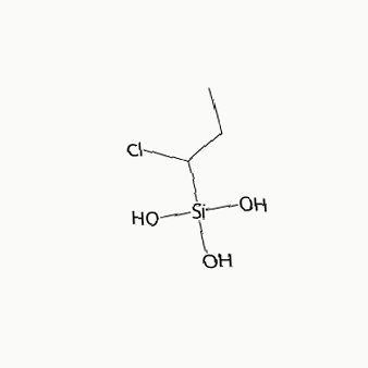 CCC(Cl)[Si](O)(O)O